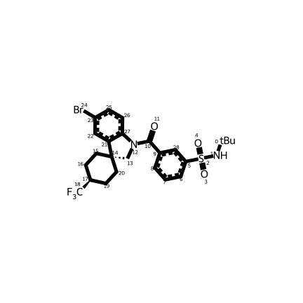 CC(C)(C)NS(=O)(=O)c1cccc(C(=O)N2C[C@]3(CC[C@H](C(F)(F)F)CC3)c3cc(Br)ccc32)c1